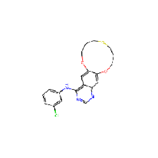 Clc1cccc(Nc2ncnc3cc4c(cc23)OCCCSCCCO4)c1